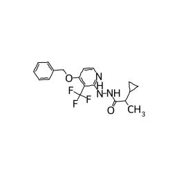 CC(C(=O)NNc1nccc(OCc2ccccc2)c1C(F)(F)F)C1CC1